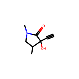 C#CC1(O)C(=O)N(C)CC1C